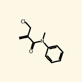 C=C(CCl)C(=O)N(C)c1ccccc1